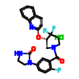 Cl.O=C(c1cc(N2CCNC2=O)ccc1F)N1CCC(F)(F)[C@@H](Oc2ccc3ccccc3n2)C1